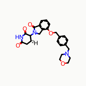 [2H]C1CC(=O)NC(=O)C1N1Cc2c(OCc3ccc(CN4CCOCC4)cc3)cccc2C1=O